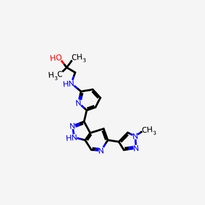 Cn1cc(-c2cc3c(-c4cccc(NCC(C)(C)O)n4)n[nH]c3cn2)cn1